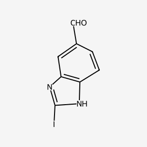 O=Cc1ccc2[nH]c(I)nc2c1